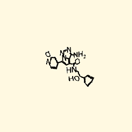 COc1cc(-c2cc(C(=O)NCC(O)c3ccccc3)c3c(N)ncnn23)ccn1